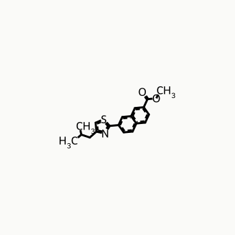 COC(=O)c1ccc2ccc(-c3nc(CC(C)C)cs3)cc2c1